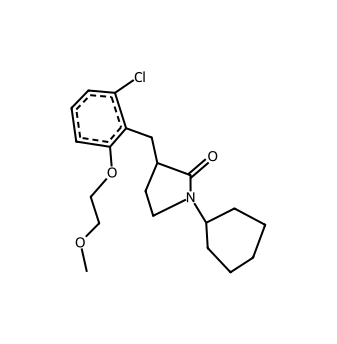 COCCOc1cccc(Cl)c1CC1CCN(C2CCCCC2)C1=O